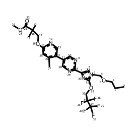 CCCOCn1nc(-c2ncc(-c3cnc(OCC(C)(C)C(=O)OC)cc3C)cn2)nc1OCC(F)(F)C(F)(F)F